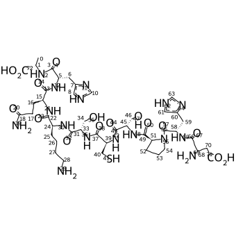 C[C@H](NC(=O)[C@H](Cc1c[nH]cn1)NC(=O)[C@H](CCC(N)=O)NC(=O)[C@H](CCCCN)NC(=O)[C@H](CO)NC(=O)[C@H](CS)NC(=O)[C@H](CO)NC(=O)[C@@H]1CCCN1C(=O)[C@H](Cc1c[nH]cn1)NC(=O)[C@@H](N)CC(=O)O)C(=O)O